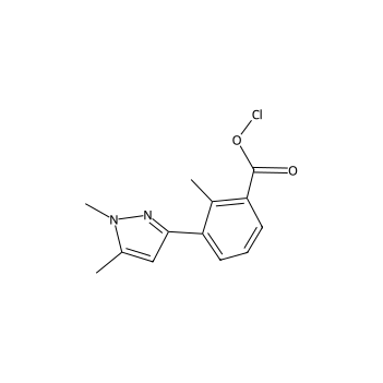 Cc1c(C(=O)OCl)cccc1-c1cc(C)n(C)n1